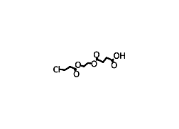 O=C(O)CCC(=O)OCCOC(=O)CCCl